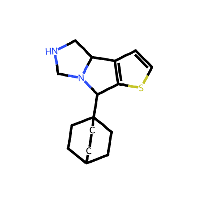 c1cc2c(s1)C(C13CCC(CC1)CC3)N1CNCC21